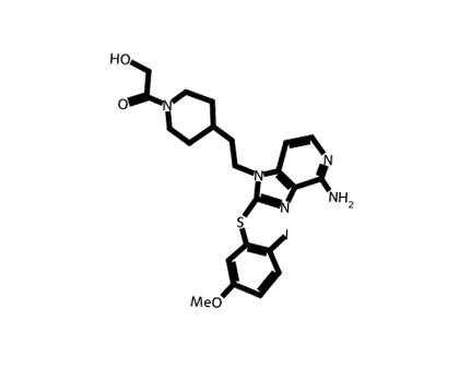 COc1ccc(I)c(Sc2nc3c(N)nccc3n2CCC2CCN(C(=O)CO)CC2)c1